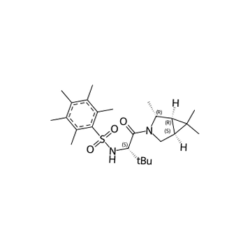 Cc1c(C)c(C)c(S(=O)(=O)N[C@H](C(=O)N2C[C@H]3[C@@H]([C@H]2C)C3(C)C)C(C)(C)C)c(C)c1C